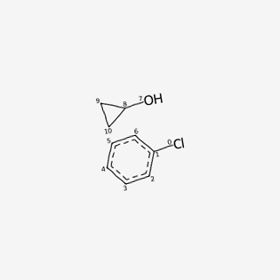 Clc1ccccc1.OC1CC1